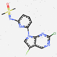 CS(C)(=O)=Nc1cccc(-n2cc(F)c3cnc(Cl)nc32)n1